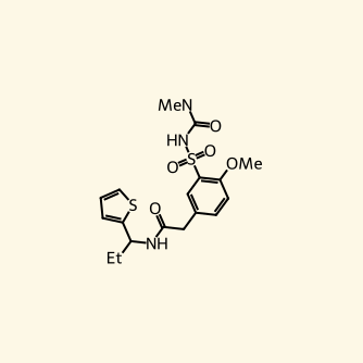 CCC(NC(=O)Cc1ccc(OC)c(S(=O)(=O)NC(=O)NC)c1)c1cccs1